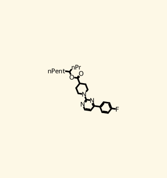 CCCCCC(CCC)OC(=O)C1CCN(c2nccc(-c3ccc(F)cc3)n2)CC1